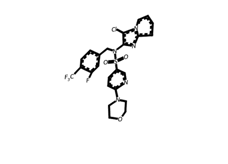 O=S(=O)(c1ccc(N2CCOCC2)nc1)N(Cc1ccc(C(F)(F)F)c(F)c1)c1nc2ccccn2c1Cl